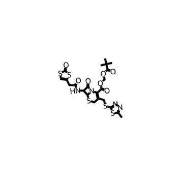 Cc1nnc(SCC2=C(C(=O)OCOC(=O)C(C)(C)C)N3C(=O)C(NC(=O)Cc4csc(=O)s4)C3SC2)s1